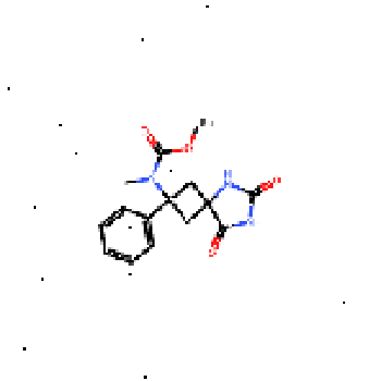 CN(C(=O)OC(C)(C)C)C1(c2ccccc2)CC2(C1)NC(=O)NC2=O